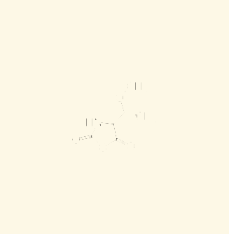 CO[C@H](C)C1NC(=O)OC1=O